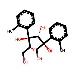 [CH]c1ccccc1[C@@](O)([C@H](O)CO)[C@H](O)[C@@](O)(CO)c1ccccc1[CH]